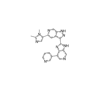 Cc1ncc(-c2cc3c(-c4nc5c(-c6cccnc6)cncc5[nH]4)n[nH]c3cn2)n1C